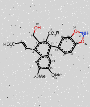 COc1cc2c(/C=C/C(=O)O)c(CO)c(C(=O)O)c(-c3ccc4c(c3)ONO4)c2cc1OC